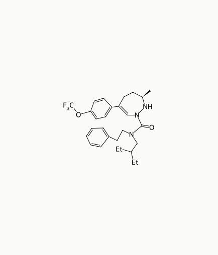 CCC(CC)CN(CCc1ccccc1)C(=O)N1C=C(c2ccc(OC(F)(F)F)cc2)CC[C@@H](C)N1